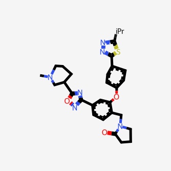 CC(C)c1nnc(-c2ccc(Oc3cc(-c4noc(C5CCCN(C)C5)n4)ccc3CN3CCCC3=O)cc2)s1